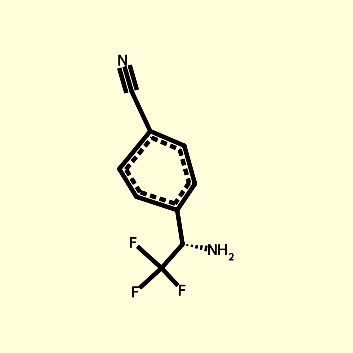 N#Cc1ccc([C@H](N)C(F)(F)F)cc1